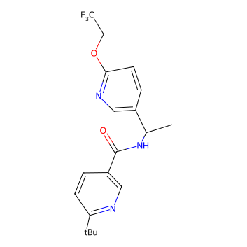 CC(NC(=O)c1ccc(C(C)(C)C)nc1)c1ccc(OCC(F)(F)F)nc1